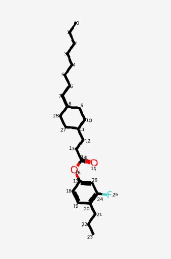 CCCCCCCCC1CCC(CCC(=O)Oc2ccc(CCC)c(F)c2)CC1